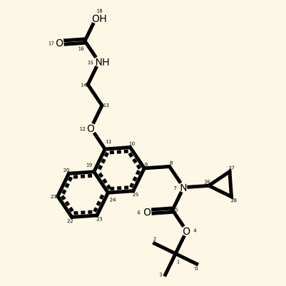 CC(C)(C)OC(=O)N(Cc1cc(OCCNC(=O)O)c2ccccc2c1)C1CC1